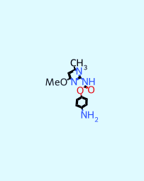 COc1cc(C)nc(NC(=O)Oc2ccc(N)cc2)n1